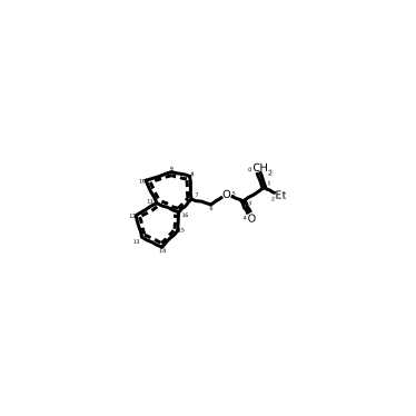 C=C(CC)C(=O)OCc1cccc2ccccc12